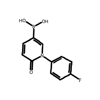 O=c1ccc(B(O)O)cn1-c1ccc(F)cc1